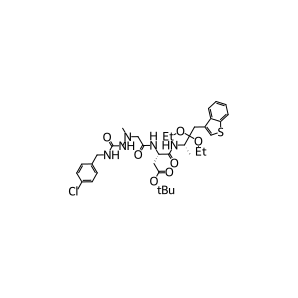 CCOC(Cc1csc2ccccc12)(OCC)[C@H](C)NC(=O)[C@H](CC(=O)OC(C)(C)C)NC(=O)CN(C)NC(=O)NCc1ccc(Cl)cc1